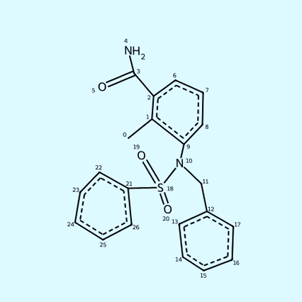 Cc1c(C(N)=O)cccc1N(Cc1ccccc1)S(=O)(=O)c1ccccc1